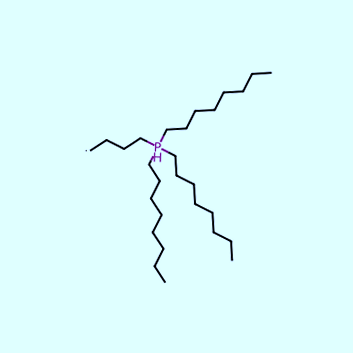 [CH2]CCC[PH](CCCCCCCC)(CCCCCCCC)CCCCCCCC